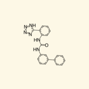 O=C(Nc1cccc(-c2ccccc2)c1)Nc1ccccc1-c1nnn[nH]1